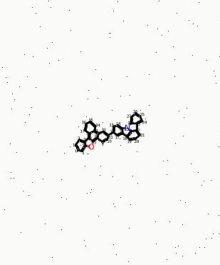 c1ccc2c(c1)oc1c3ccc(-c4ccc5c(c4)c4cccc6c7ccccc7n5c64)cc3c3ccccc3c21